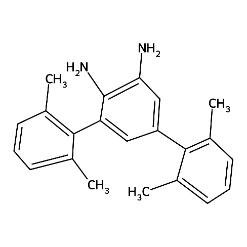 Cc1cccc(C)c1-c1cc(N)c(N)c(-c2c(C)cccc2C)c1